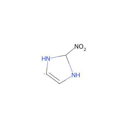 O=[N+]([O-])C1N[C]=CN1